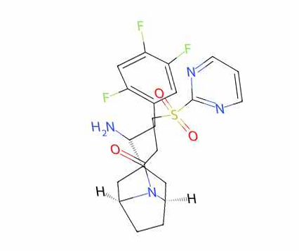 NC(Cc1cc(F)c(F)cc1F)[C@@H]1C[C@H]2CC[C@@H](C1)N2C(=O)CCS(=O)(=O)c1ncccn1